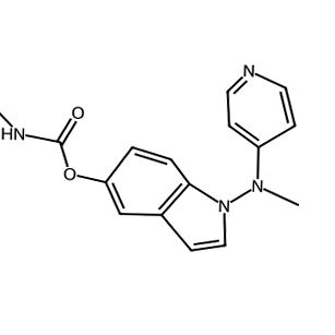 CNC(=O)Oc1ccc2c(ccn2N(C)c2ccncc2)c1